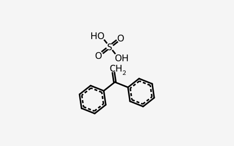 C=C(c1ccccc1)c1ccccc1.O=S(=O)(O)O